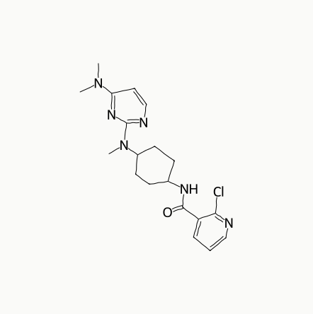 CN(C)c1ccnc(N(C)C2CCC(NC(=O)c3cccnc3Cl)CC2)n1